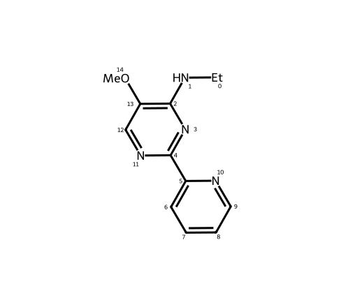 CCNc1nc(-c2ccccn2)ncc1OC